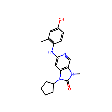 Cc1cc(O)ccc1Nc1cc2c(cn1)n(C)c(=O)n2C1CCCC1